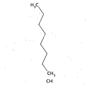 CCCCCCCC.[CH]